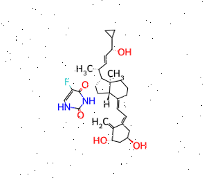 C=C1/C(=C\C=C2/CCC[C@]3(C)[C@@H]([C@H](C)/C=C/[C@@H](O)C4CC4)CC[C@@H]23)C[C@@H](O)C[C@@H]1O.O=c1[nH]cc(F)c(=O)[nH]1